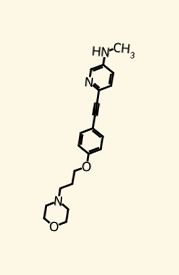 CNc1ccc(C#Cc2ccc(OCCCN3CCOCC3)cc2)nc1